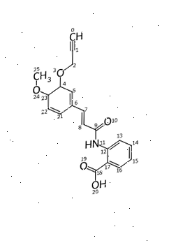 C#CCOC1C=C(/C=C/C(=O)Nc2ccccc2C(=O)O)C=CC1OC